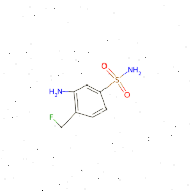 Nc1cc(S(N)(=O)=O)ccc1CF